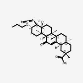 CCCO[C@H]1CC[C@@]2(C)[C@@H](CC[C@]3(C)[C@@H]2C(=O)C=C2[C@@H]4C[C@@](C)(C(=O)O)CC[C@]4(C)CC[C@]23C)[C@]1(C)N=C=O